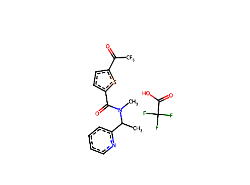 CC(c1ccccn1)N(C)C(=O)c1ccc(C(=O)C(F)(F)F)s1.O=C(O)C(F)(F)F